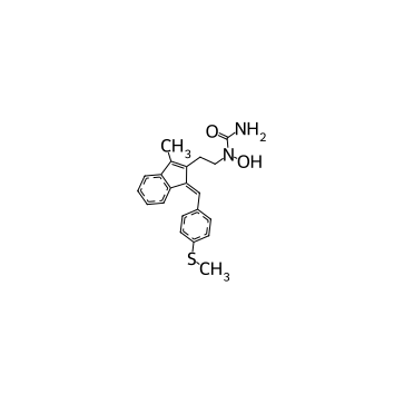 CSc1ccc(C=C2C(CCN(O)C(N)=O)=C(C)c3ccccc32)cc1